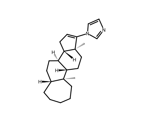 C[C@]12CCCCC[C@@H]1CC[C@@H]1[C@@H]2CC[C@]2(C)C(n3ccnc3)=CC[C@@H]12